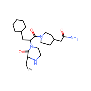 CC(C)CC1NCCN(C(CC2CCCCC2)C(=O)N2CCC(CC(N)=O)CC2)C1=O